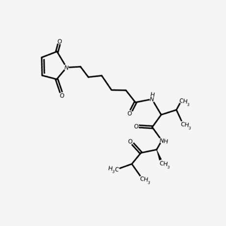 CC(C)C(=O)[C@H](C)NC(=O)C(NC(=O)CCCCCN1C(=O)C=CC1=O)C(C)C